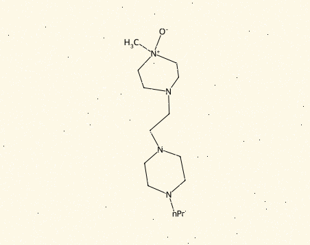 CCCN1CCN(CCN2CC[N+](C)([O-])CC2)CC1